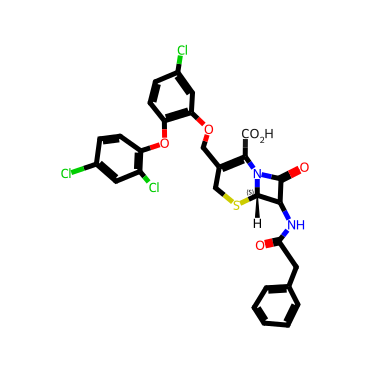 O=C(Cc1ccccc1)NC1C(=O)N2C(C(=O)O)=C(COc3cc(Cl)ccc3Oc3ccc(Cl)cc3Cl)CS[C@@H]12